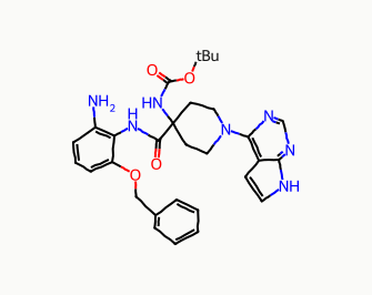 CC(C)(C)OC(=O)NC1(C(=O)Nc2c(N)cccc2OCc2ccccc2)CCN(c2ncnc3[nH]ccc23)CC1